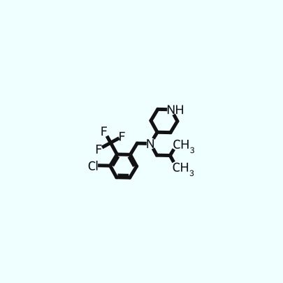 CC(C)CN(Cc1cccc(Cl)c1C(F)(F)F)C1CCNCC1